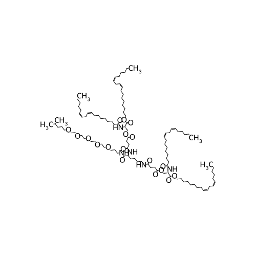 CCCCC/C=C\C/C=C\CCCCCCCCOC(=O)[C@@H](COC(=O)CCC(=O)NCCCCC(NC(=O)CCC(=O)OC[C@@H](NC(=O)CCCCCCC/C=C\C/C=C\CCCCC)C(=O)OCCCCCCCC/C=C\C/C=C\CCCCC)C(=O)NCCCOCCOCCOCCOCCOCCCC(C)C)NC(=O)CCCCCCC/C=C\C/C=C\CCCCC